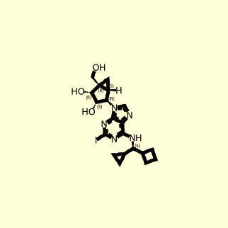 OC[C@@]12C[C@@H]1[C@@H](n1cnc3c(N[C@@H](C4CCC4)C4CC4)nc(I)nc31)[C@H](O)[C@@H]2O